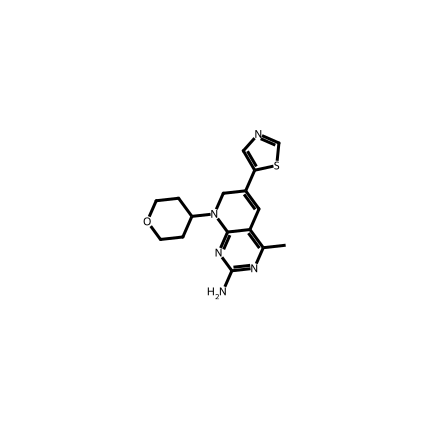 Cc1nc(N)nc2c1C=C(c1cncs1)CN2C1CCOCC1